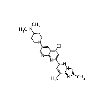 Cc1cn2nc(-c3cc(Cl)c4cc(N5CCC(N(C)C)CC5)cnc4n3)cc(C)c2n1